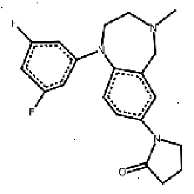 CN1CCN(c2cc(F)cc(F)c2)c2ccc(N3CCCC3=O)cc2C1